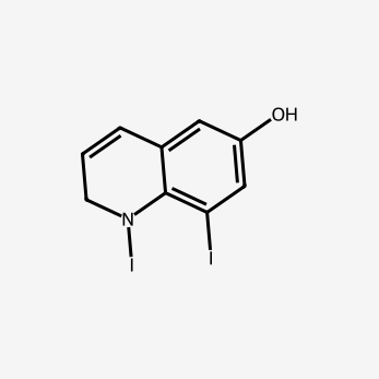 Oc1cc(I)c2c(c1)C=CCN2I